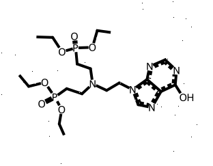 CCOP(=O)(CCN(CCn1cnc2c(O)ncnc21)CCP(=O)(OCC)OCC)OCC